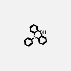 B1c2ccccc2N(c2ccccc2)c2ccccc21